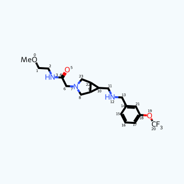 COCCNC(=O)CN1CC2C(CNCc3cccc(OC(F)(F)F)c3)C2C1